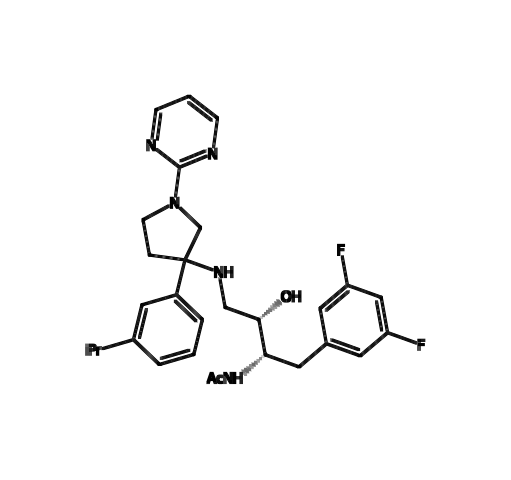 CC(=O)N[C@@H](Cc1cc(F)cc(F)c1)[C@@H](O)CNC1(c2cccc(C(C)C)c2)CCN(c2ncccn2)C1